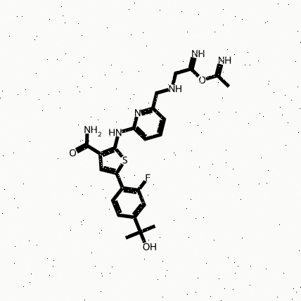 CC(=N)OC(=N)CNCc1cccc(Nc2sc(-c3ccc(C(C)(C)O)cc3F)cc2C(N)=O)n1